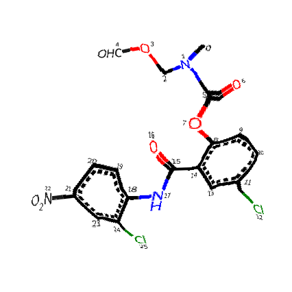 CN(COC=O)C(=O)Oc1ccc(Cl)cc1C(=O)Nc1ccc([N+](=O)[O-])cc1Cl